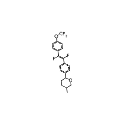 CC1CCC(c2ccc(/C(F)=C(\F)c3ccc(OC(F)(F)F)cc3)cc2)OC1